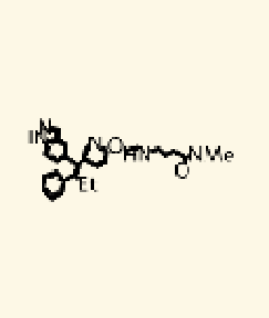 CCC(=C(c1ccc(OCCNCCCC(=O)NC)nc1)c1ccc2[nH]ncc2c1)c1ccccc1